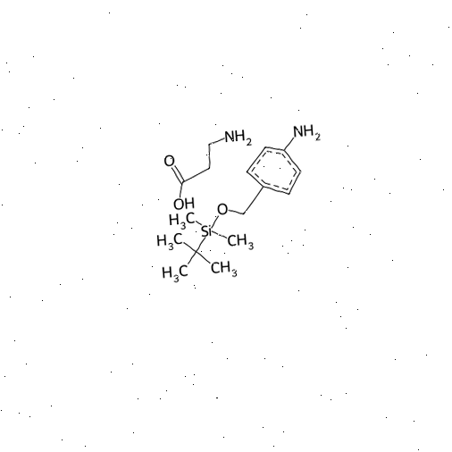 CC(C)(C)[Si](C)(C)OCc1ccc(N)cc1.NCCC(=O)O